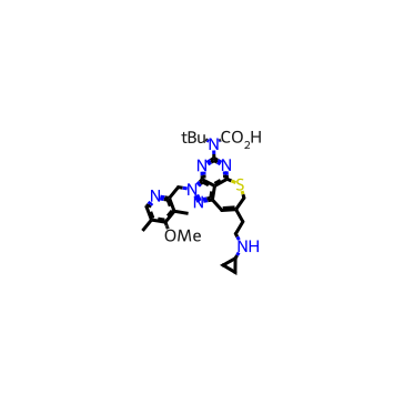 COc1c(C)cnc(Cn2nc3c4c(nc(N(C(=O)O)C(C)(C)C)nc42)SCC(CCNC2CC2)=C3)c1C